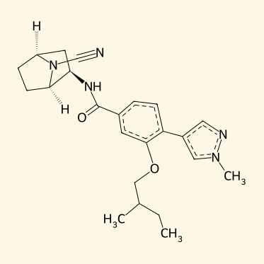 CCC(C)COc1cc(C(=O)N[C@@H]2C[C@@H]3CC[C@H]2N3C#N)ccc1-c1cnn(C)c1